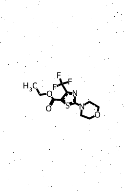 CCOC(=O)c1sc(N2CCOCC2)nc1C(F)(F)F